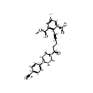 COC(=O)c1cc(F)cc([N+](=O)[O-])c1C#CCCC(=O)N1CCN(c2ccc(C#N)cc2)CC1